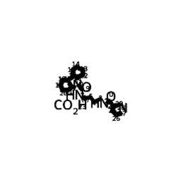 O=C(NCCC[C@H](NC(=O)n1c2ccccc2c2ccccc21)C(=O)O)c1cccnc1